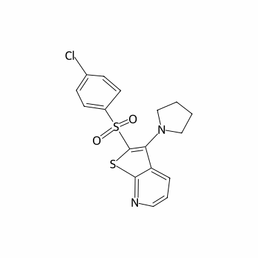 O=S(=O)(c1ccc(Cl)cc1)c1sc2ncccc2c1N1CCCC1